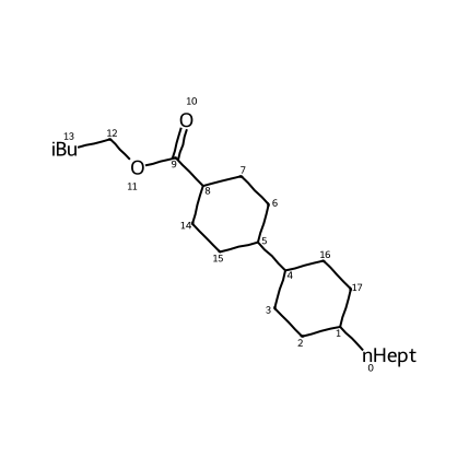 CCCCCCCC1CCC(C2CCC(C(=O)OCC(C)CC)CC2)CC1